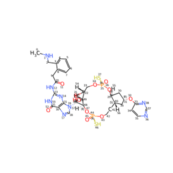 CNCc1ccccc1CC(=O)Nc1nc2c(ncn2[C@@H]2O[C@@H]3CO[P@@](=O)(S)O[C@H]4C[C@H](Oc5ccncn5)C[C@@H]4CCO[P@@](=O)(S)O[C@@H]2[C@@H]3O)c(=O)[nH]1